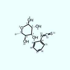 C[C@@H]1O[C@@H](O)[C@H](O)[C@H](O)[C@H]1O.S=C=Nc1ccccc1